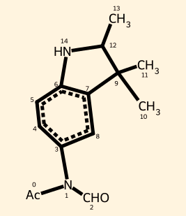 CC(=O)N(C=O)c1ccc2c(c1)C(C)(C)C(C)N2